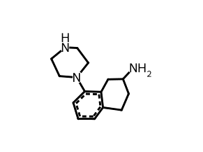 NC1CCc2cccc(N3CCNCC3)c2C1